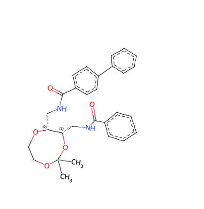 CC1(C)OCCO[C@H](CNC(=O)c2ccc(-c3ccccc3)cc2)[C@H](CNC(=O)c2ccccc2)O1